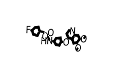 COc1cc2nccc(Oc3ccc(NC(=O)OCc4ccc(F)cc4)cc3)c2cc1OC